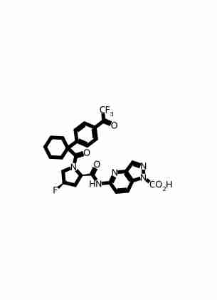 O=C(Nc1ccc2c(cnn2C(=O)O)n1)[C@H]1C[C@@H](F)CN1C(=O)C1(c2ccc(C(=O)C(F)(F)F)cc2)CCCCC1